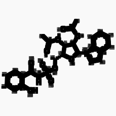 CC(=O)O[C@@H]1[C@H](OC(C)=O)[C@@H](COS(=O)(=O)NC(=O)c2ccccc2O)O[C@H]1n1ccc2ccccc21